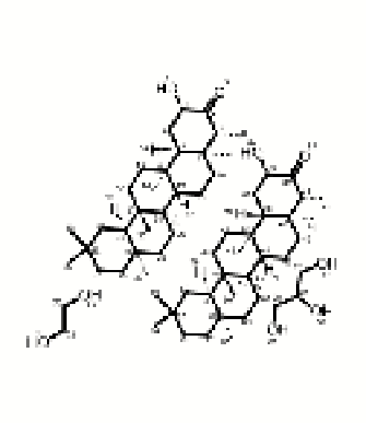 C[C@H]1C(=O)[C@H](O)C[C@@H]2[C@]1(C)CC[C@H]1[C@@]2(C)CC[C@@]2(C)[C@@H]3CC(C)(C)CC[C@]3(C)CC[C@]12C.C[C@H]1C(=O)[C@H](O)C[C@@H]2[C@]1(C)CC[C@H]1[C@@]2(C)CC[C@@]2(C)[C@@H]3CC(C)(C)CC[C@]3(C)CC[C@]12C.OCC(O)CO.OCCO